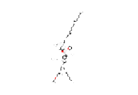 COc1cc(S(=O)(=O)CCN(CCOC(=O)CCCCCO)CCOC(=O)CCCCCO)c(OC)cc1/N=N/c1c(Nc2ccccc2)nc(NCCOCCOC(=O)CCCCCOC(=O)CCCCCO)c(C#N)c1C